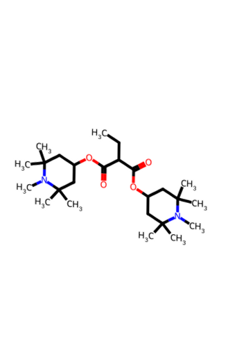 CCC(C(=O)OC1CC(C)(C)N(C)C(C)(C)C1)C(=O)OC1CC(C)(C)N(C)C(C)(C)C1